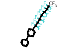 FC(F)(F)C(F)(F)C(F)(F)C(F)(F)C(F)(F)C(F)(F)C(F)(F)C(F)(F)c1ccc(-c2ccccc2)cc1